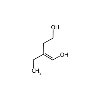 CCC(=CO)CCO